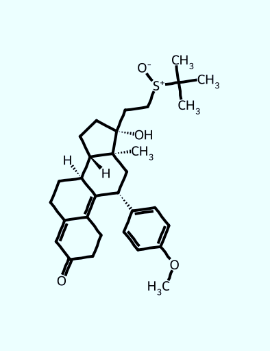 COc1ccc([C@H]2C[C@@]3(C)[C@@H](CC[C@@]3(O)CC[S+]([O-])C(C)(C)C)[C@@H]3CCC4=CC(=O)CCC4=C32)cc1